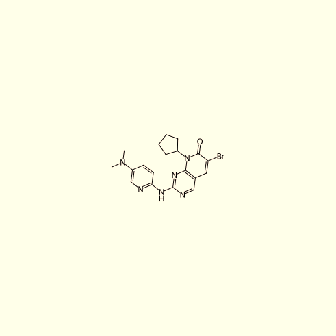 CN(C)c1ccc(Nc2ncc3cc(Br)c(=O)n(C4CCCC4)c3n2)nc1